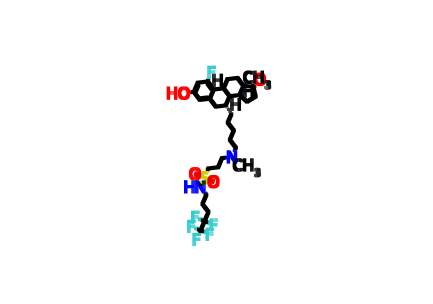 CN(CCCCC[C@@H]1Cc2cc(O)cc(F)c2[C@H]2CC[C@]3(C)C(=O)CC[C@H]3[C@H]12)CCCS(=O)(=O)NCCCC(F)(F)C(F)(F)F